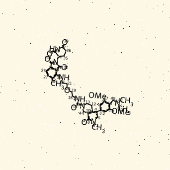 COc1cc(-c2cn(C)c(=O)c3c2CCN(C(=O)NCCOCCNc2c(C)ccc4c2C(=O)N(C2CCC(=O)NC2=O)C4=O)C3)cc(OC)c1CN(C)C